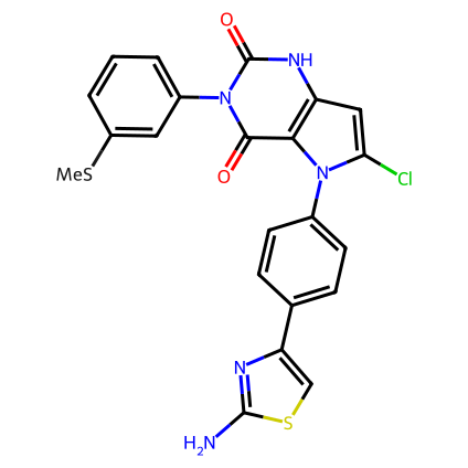 CSc1cccc(-n2c(=O)[nH]c3cc(Cl)n(-c4ccc(-c5csc(N)n5)cc4)c3c2=O)c1